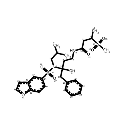 CC(C)CN(C(O)(CCNC(=O)CC(C)S(C)(=O)=O)Cc1ccccc1)S(=O)(=O)c1ccc2occc2c1